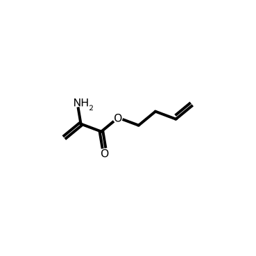 C=CCCOC(=O)C(=C)N